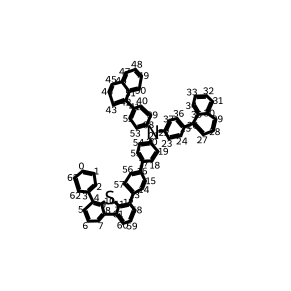 c1ccc(-c2cccc3c2sc2c(-c4ccc(-c5ccc(N(c6ccc(-c7cccc8ccccc78)cc6)c6ccc(-c7cccc8ccccc78)cc6)cc5)cc4)cccc23)cc1